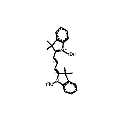 CC1(C)C(/C=C/C=C2/N(C(C)(C)C)c3ccccc3C2(C)C)=[N+](C(C)(C)C)c2ccccc21